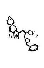 CC(COCc1ccccc1)Cc1n[nH]c2c1CC1(C=C2)CCOCC1